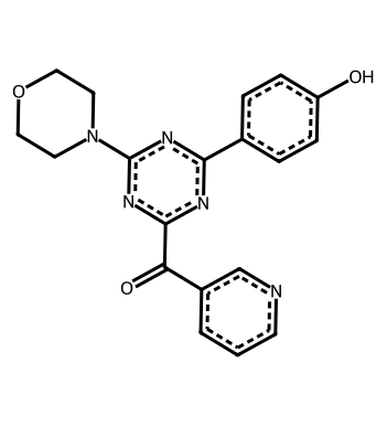 O=C(c1cccnc1)c1nc(-c2ccc(O)cc2)nc(N2CCOCC2)n1